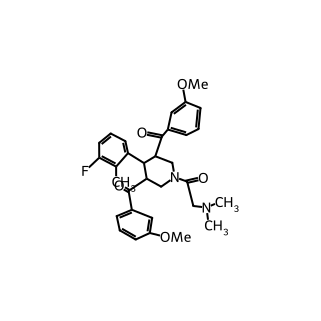 COc1cccc(C(=O)C2CN(C(=O)CN(C)C)CC(C(=O)c3cccc(OC)c3)C2c2cccc(F)c2C)c1